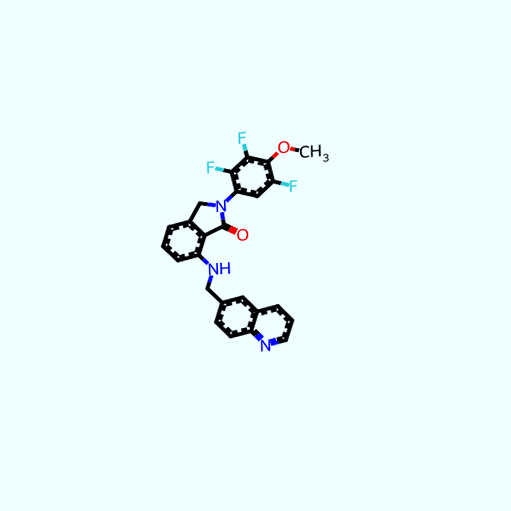 COc1c(F)cc(N2Cc3cccc(NCc4ccc5ncccc5c4)c3C2=O)c(F)c1F